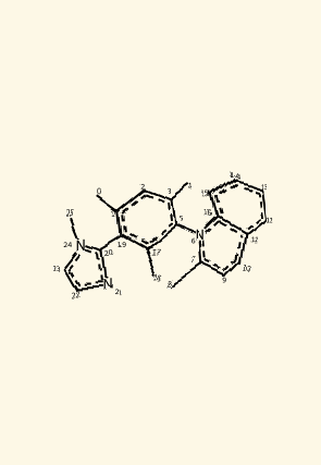 Cc1cc(C)c(-[n+]2c(C)ccc3ccccc32)c(C)c1-c1nccn1C